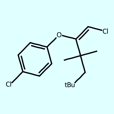 CC(C)(C)CC(C)(C)C(=CCl)Oc1ccc(Cl)cc1